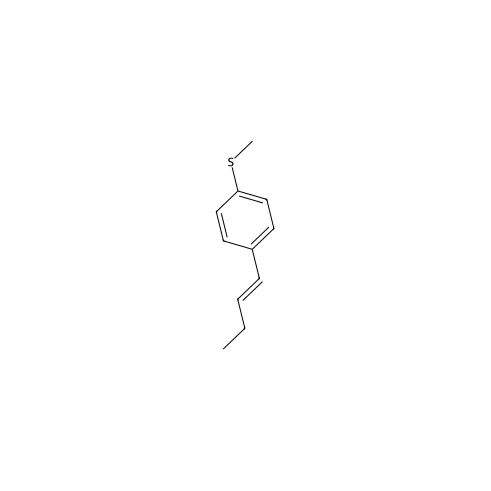 CC/C=C/c1ccc(SC)cc1